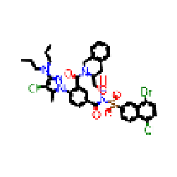 CCCN(CCC)c1nn(-c2ccc(C(=O)NS(=O)(=O)c3ccc4c(Cl)ccc(Br)c4c3)cc2C(=O)N2Cc3ccccc3CC2CO)c(C)c1Cl